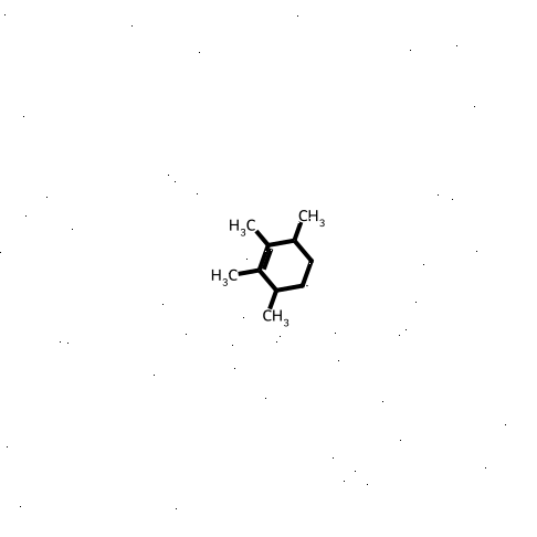 CC1=C(C)C(C)C[CH]C1C